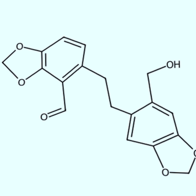 O=Cc1c(CCc2cc3c(cc2CO)OCO3)ccc2c1OCO2